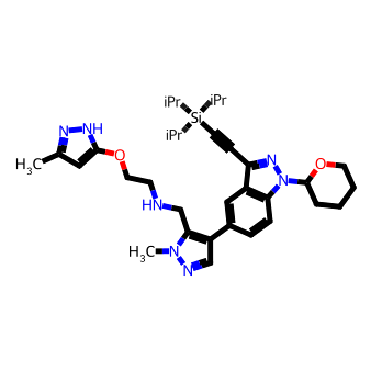 Cc1cc(OCCNCc2c(-c3ccc4c(c3)c(C#C[Si](C(C)C)(C(C)C)C(C)C)nn4C3CCCCO3)cnn2C)[nH]n1